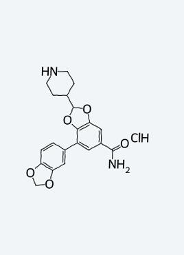 Cl.NC(=O)c1cc2c(c(-c3ccc4c(c3)OCO4)c1)OC(C1CCNCC1)O2